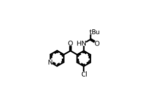 CC(C)(C)C(=O)Nc1ccc(Cl)cc1C(=O)c1ccncc1